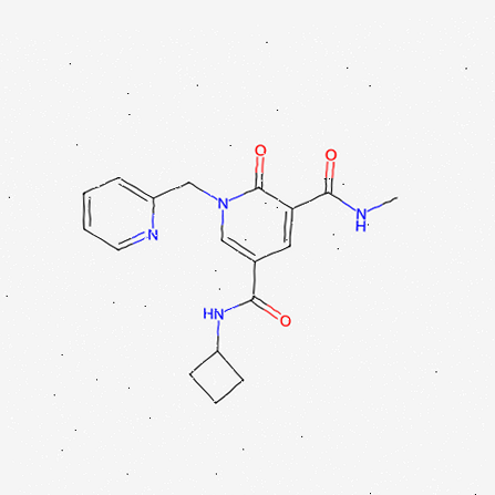 CNC(=O)c1cc(C(=O)NC2CCC2)cn(Cc2ccccn2)c1=O